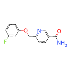 NC(=O)c1ccc(COc2cccc(F)c2)nc1